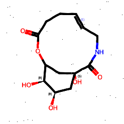 O=C1CC/C=C/CNC(=O)[C@@]2(O)CC(O1)[C@H](O)[C@H](O)C2